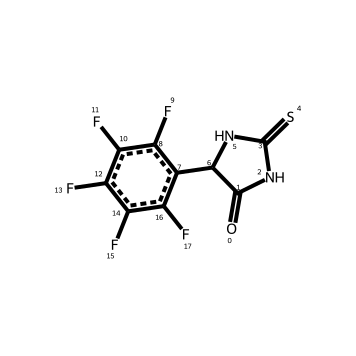 O=C1NC(=S)NC1c1c(F)c(F)c(F)c(F)c1F